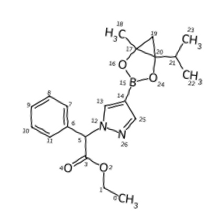 CCOC(=O)C(c1ccccc1)n1cc(B2OC3(C)CC3(C(C)C)O2)cn1